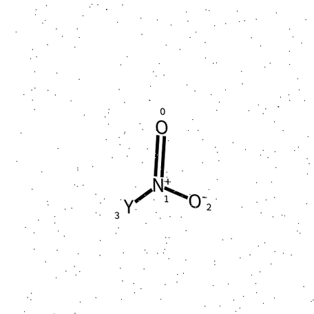 O=[N+]([O-])[Y]